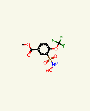 COC(=O)c1ccc(OC(F)(F)F)c(S(=O)(=O)NO)c1